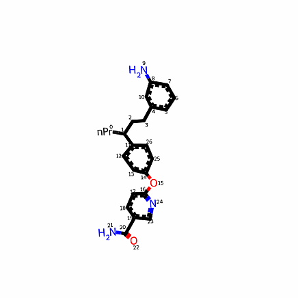 CCCC(CCc1cccc(N)c1)c1ccc(Oc2ccc(C(N)=O)cn2)cc1